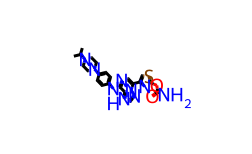 CC(C)N1CCN(c2ccc(Nc3ncc(-c4csc(OC(N)=O)n4)n4ncnc34)cc2)CC1